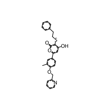 Cc1cc(-c2cc(O)c(SCCc3ccccc3)c(=O)o2)ccc1OCc1ccccn1